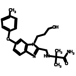 Cc1ccc(Oc2ccc3nc(CNC(C)(C)C(N)=O)n(CCCO)c3c2)cc1